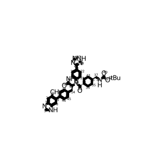 Cc1cc2nc[nH]c2cc1-c1ccc(C[C@@H](C(N)=O)N(c2ccc(-c3nn[nH]n3)cc2)C(=O)[C@H]2CC[C@H](CNC(=O)OC(C)(C)C)CC2)cc1